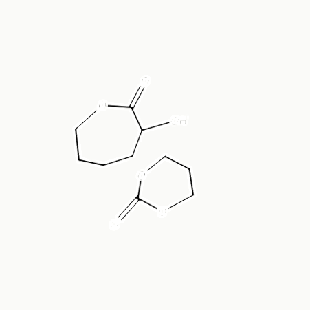 O=C1OCCCCC1O.O=C1OCCCO1